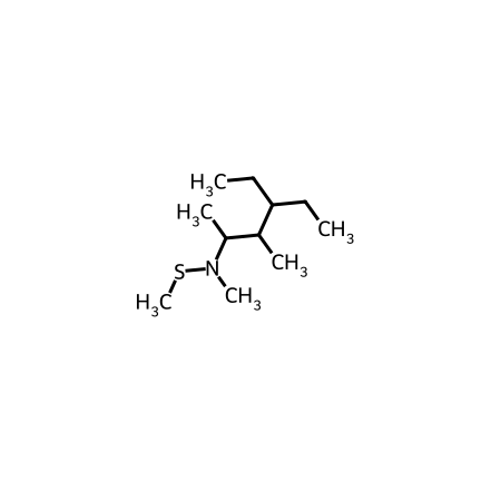 CCC(CC)C(C)C(C)N(C)SC